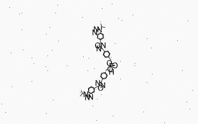 CC(C)n1nnc2cc(-c3nc(-c4ccc(CO[PH](=O)OCc5ccc(-c6noc(-c7ccc8c(c7)nnn8C(C)C)n6)cc5)cc4)no3)ccc21